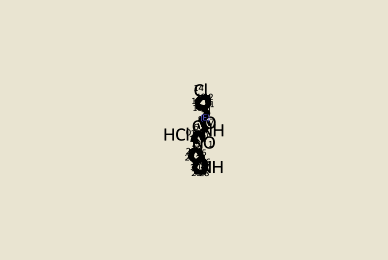 Cl.O=C1[C@@H](NS(=O)(=O)/C=C/c2ccc(Cl)cc2)CCN1c1ccc2c(c1)CNCCC2